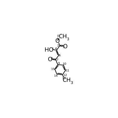 COC(=O)C(O)=CC(=O)c1ccc(C)cc1